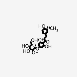 COc1cc(CCC(=O)c2c(O)cc(OC3OC(CO)C(O)C(O)C3O)cc2O)ccc1O